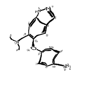 CN(C)c1cc2[nH]ncc2cc1Oc1ccc(N)cc1